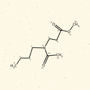 CCCCN(CCC(=O)OC)C(C)=O